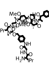 CC[C@H](C)C([C@@H](CC(=O)N1CCC[C@H]1[C@H](OC)[C@@H](C)C(=O)NC(C)C(O)c1ccccc1)OC)N(C)C(=O)CNC(=O)C(C(C)C)N(C)C(=O)OCc1ccc(NC(=O)CNC(=O)C(N)C(C)C)cc1